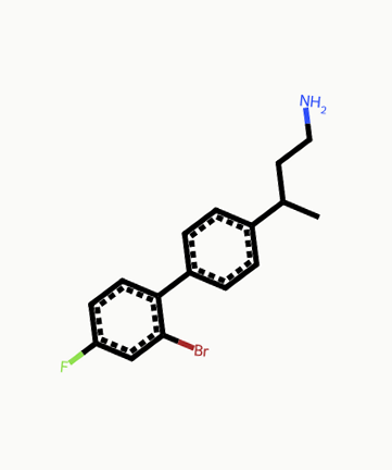 CC(CCN)c1ccc(-c2ccc(F)cc2Br)cc1